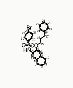 O=S(=O)(Nc1nc2ccccc2nc1OCCCc1ccccc1)c1ccc(Br)cc1